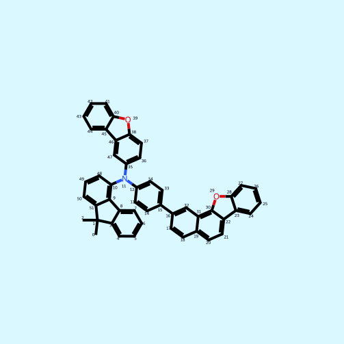 CC1(C)c2ccccc2-c2c(N(c3ccc(-c4ccc5ccc6c7ccccc7oc6c5c4)cc3)c3ccc4oc5ccccc5c4c3)cccc21